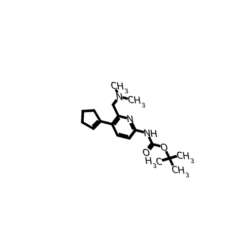 CN(C)Cc1nc(NC(=O)OC(C)(C)C)ccc1C1=CCCC1